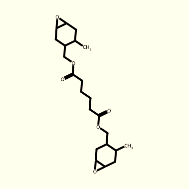 CC1CC2OC2CC1COC(=O)CCCCC(=O)OCC1CC2OC2CC1C